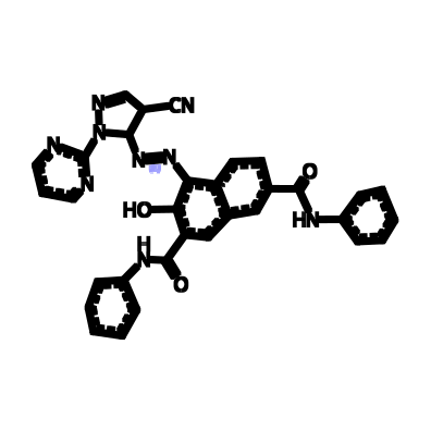 N#CC1C=NN(c2ncccn2)C1/N=N/c1c(O)c(C(=O)Nc2ccccc2)cc2cc(C(=O)Nc3ccccc3)ccc12